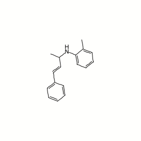 Cc1ccccc1NC(C)/C=C/c1ccccc1